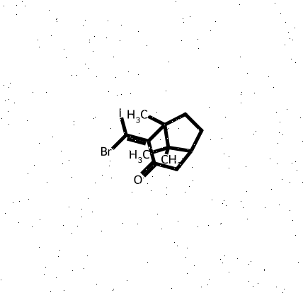 CC12CCC(CC(=O)C1=C(Br)I)C2(C)C